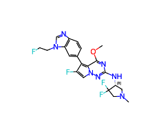 COc1nc(N[C@@H]2CN(C)CC2(F)F)nn2cc(F)c(-c3ccc4ncn(CCF)c4c3)c12